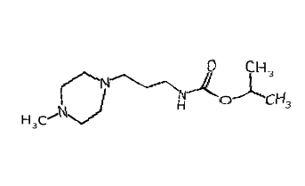 CC(C)OC(=O)NCCCN1CCN(C)CC1